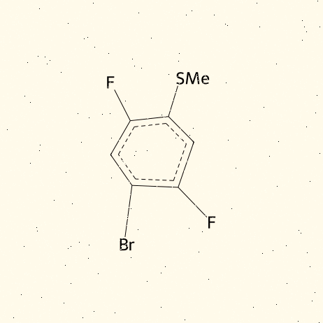 CSc1cc(F)c(Br)cc1F